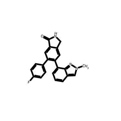 Cn1cc2cccc(-c3cc4c(cc3-c3ccc(F)cc3)C(=O)NC4)c2n1